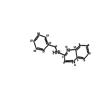 [CH](Nc1cnc2ccccc2n1)c1ccccc1